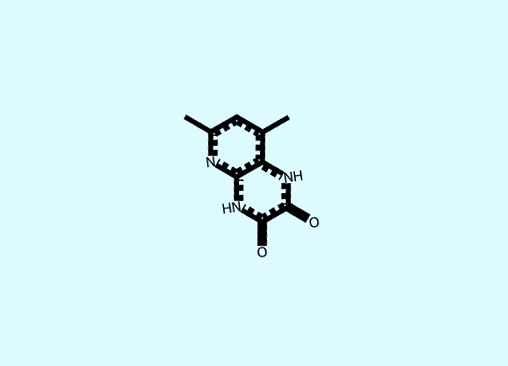 Cc1cc(C)c2[nH]c(=O)c(=O)[nH]c2n1